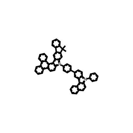 CC1(C)c2ccccc2-c2cc3c4c5c6ccccc6c6ccccc6c5ccc4n(-c4ccc(-c5ccc6c(c5)c5c7ccccc7ccc5n6-c5ccccc5)cc4)c3cc21